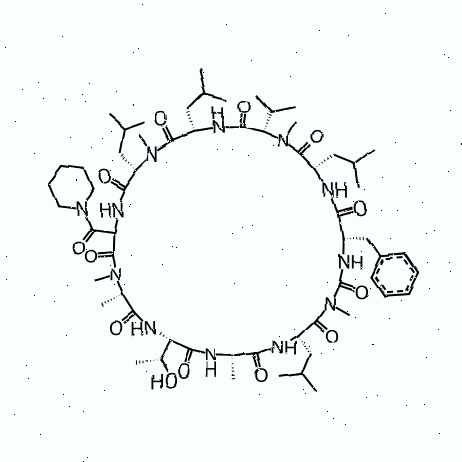 CC(C)C[C@@H]1NC(=O)[C@H](C)NC(=O)[C@H]([C@@H](C)O)NC(=O)[C@H](C)N(C)C(=O)C(C(=O)N2CCCCC2)NC(=O)[C@H](CC(C)C)N(C)C(=O)[C@H](CC(C)C)NC(=O)[C@H](C(C)C)N(C)C(=O)[C@H](CC(C)C)NC(=O)[C@H](Cc2ccccc2)NC(=O)N(C)C1=O